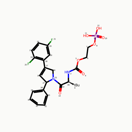 CC(C)(C)[C@H](NC(=O)OCCOP(=O)(O)O)C(=O)N1CC(c2cc(F)ccc2F)=CC1c1ccccc1